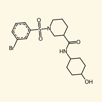 O=C(NC1CCC(O)CC1)C1CCCN(S(=O)(=O)c2cccc(Br)c2)C1